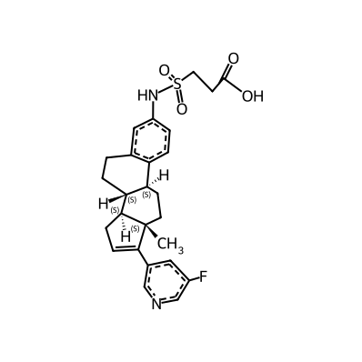 C[C@]12CC[C@@H]3c4ccc(NS(=O)(=O)CCC(=O)O)cc4CC[C@H]3[C@@H]1CC=C2c1cncc(F)c1